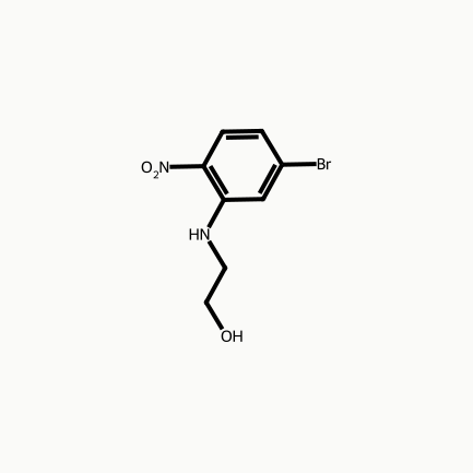 O=[N+]([O-])c1ccc(Br)cc1NCCO